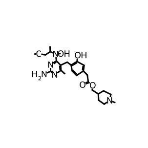 CCCC(C)N(O)c1nc(N)nc(C)c1Cc1ccc(CC(=O)OCC2CCN(C)CC2)cc1O